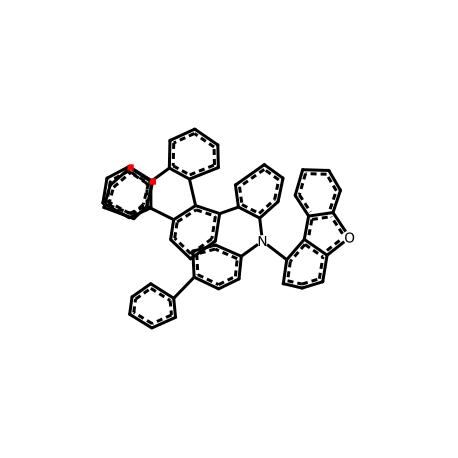 c1ccc(-c2ccc(N(c3ccccc3-c3cccc(-c4ccccc4)c3-c3ccccc3-c3ccccc3)c3cccc4oc5ccccc5c34)cc2)cc1